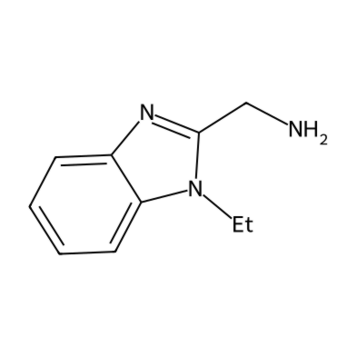 CCn1c(CN)nc2ccccc21